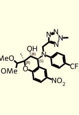 COC(OC)[C@]1(C)Oc2ccc([N+](=O)[O-])cc2[C@H](N(Cc2nnn(C)n2)c2ccc(C(F)(F)F)cc2)[C@H]1O